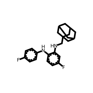 Fc1ccc(Nc2ccc(F)cc2NCC23CC4CC(CC(C4)C2)C3)cc1